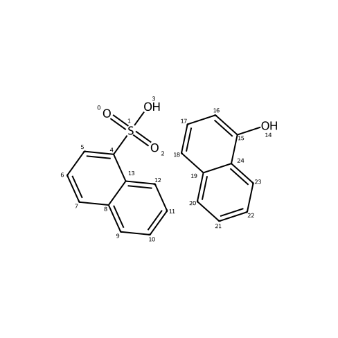 O=S(=O)(O)c1cccc2ccccc12.Oc1cccc2ccccc12